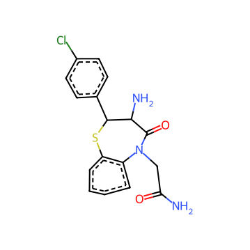 NC(=O)CN1C(=O)C(N)C(c2ccc(Cl)cc2)Sc2ccccc21